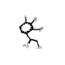 CC(CCl)c1ccc(Br)c(Br)c1Br